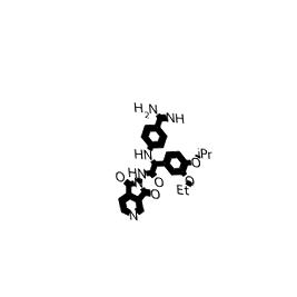 CCOc1cc(C(Nc2ccc(C(=N)N)cc2)C(=O)NN2C(=O)c3ccncc3C2=O)ccc1OC(C)C